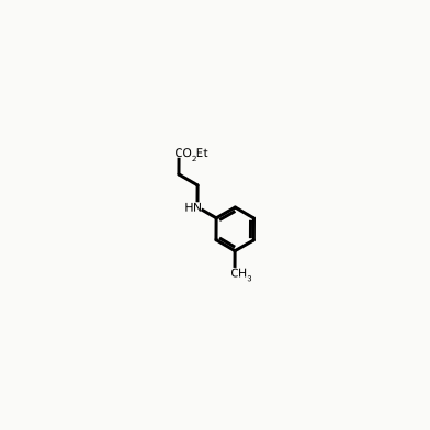 CCOC(=O)CCNc1cccc(C)c1